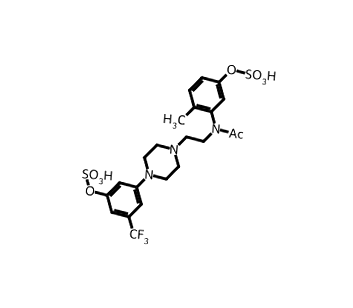 CC(=O)N(CCN1CCN(c2cc(OS(=O)(=O)O)cc(C(F)(F)F)c2)CC1)c1cc(OS(=O)(=O)O)ccc1C